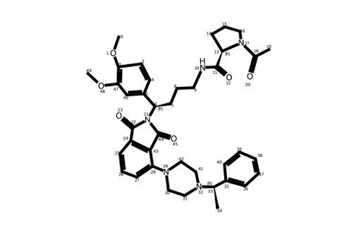 COc1ccc([C@@H](CCCNC(=O)[C@H]2CCCN2C(C)=O)N2C(=O)c3cccc(N4CCN([C@H](C)c5ccccc5)CC4)c3C2=O)cc1OC